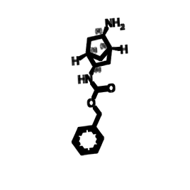 N[C@@H]1C[C@@H]2C[C@H]1C[C@H]2NC(=O)OCc1ccccc1